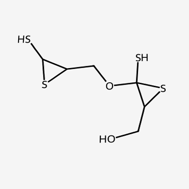 OCC1SC1(S)OCC1SC1S